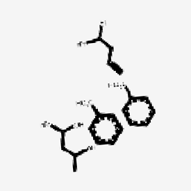 C=CCC(CC)CCC.CCCC(O)CC(C)O.O=C(O)c1ccccc1.O=C(O)c1ccccc1